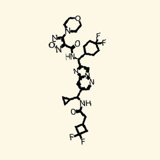 O=C(CC1CC(F)(F)C1)NC(c1cnn2cc([C@@H](NC(=O)c3nonc3N3CCOCC3)C3CCC(F)(F)CC3)nc2c1)C1CC1